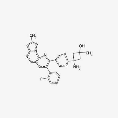 Cc1cc2ncc3cc(-c4ccccc4F)c(-c4ccc(C5(N)CC(C)(O)C5)cc4)nc3n2n1